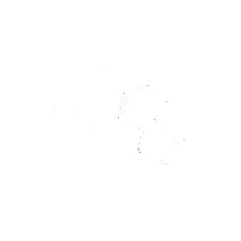 CCOC(=O)Cc1c(Cl)ccc2n[nH]c(=O)n12